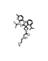 COCCNCC(=O)N1CC(C(=O)Nc2ccc(C)nc2OC(F)F)(c2ccccc2C(C)C)C1